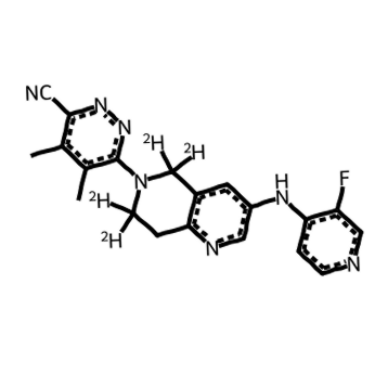 [2H]C1([2H])Cc2ncc(Nc3ccncc3F)cc2C([2H])([2H])N1c1nnc(C#N)c(C)c1C